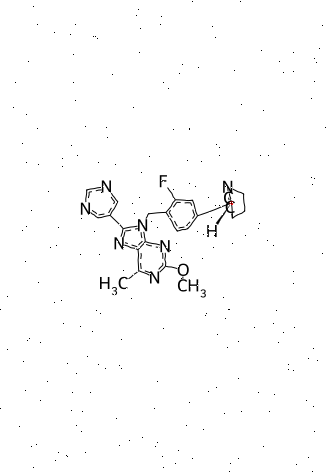 COc1nc(C)c2nc(-c3cncnc3)n(Cc3ccc([C@H]4CN5CCC4CC5)cc3F)c2n1